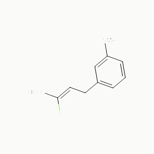 CSc1cccc(C/C=C(\F)C(=O)O)c1